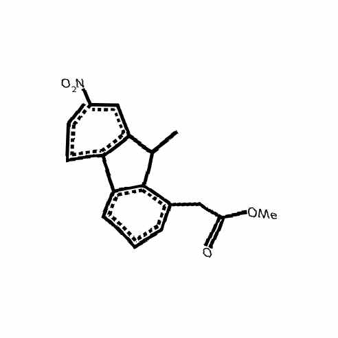 COC(=O)Cc1cccc2c1C(C)c1cc([N+](=O)[O-])ccc1-2